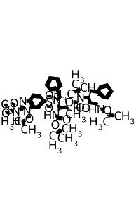 CC(C)ONC[C@@H](O)[C@H](Cc1ccccc1)N(C(=O)O[C@H](C)[C@@H](NC(=O)OC(C)(C)C)N(Cc1ccccc1)S(=O)(=O)c1ccc2nc(NS(C)(=O)=O)n(OC(C)C)c2c1)C(C)(C)C